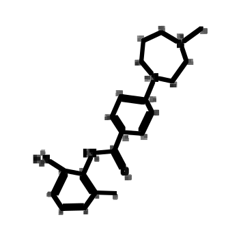 Cc1cccc(N)c1NC(=O)c1ccc(N2CCCN(C)CC2)cc1